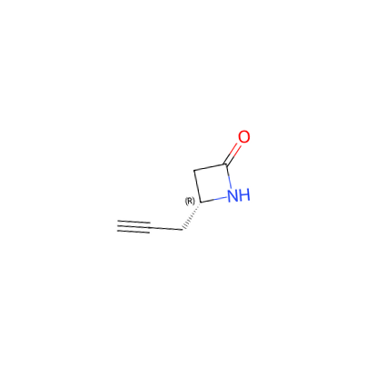 C#CC[C@@H]1CC(=O)N1